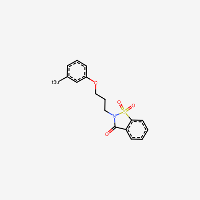 CC(C)(C)c1cccc(OCCCN2C(=O)c3ccccc3S2(=O)=O)c1